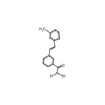 CCN(CC)C(=O)c1cccc(/C=C/c2cccc(C)n2)c1